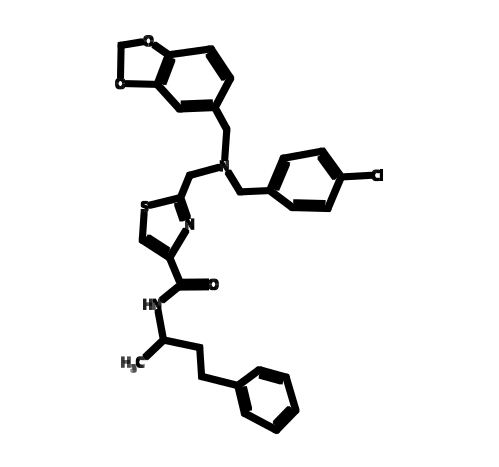 CC(CCc1ccccc1)NC(=O)c1csc(CN(Cc2ccc(Cl)cc2)Cc2ccc3c(c2)OCO3)n1